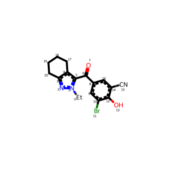 CCn1nc2c(c1C(=O)c1cc(Br)c(O)c(C#N)c1)CCCC2